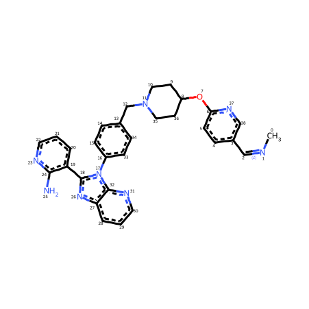 C/N=C\c1ccc(OC2CCN(Cc3ccc(-n4c(-c5cccnc5N)nc5cccnc54)cc3)CC2)nc1